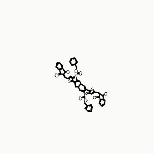 O=C1C(=Cc2cc3c(s2)c2c(n3C(=O)OCc3ccccc3)=CC3C=c4c(n(C(=O)OCc5ccccc5)c5cc(C=C6C(=O)c7ccccc7C6=O)sc45)=CC3C=2)C(=O)c2ccccc21